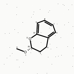 CO[C@H]1CCc2ccccc2O1